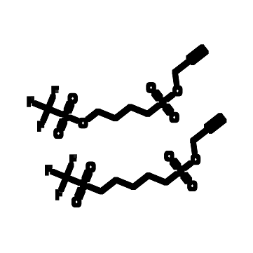 C#CCOS(=O)(=O)CCCCCS(=O)(=O)C(F)(F)F.C#CCOS(=O)(=O)CCCCOS(=O)(=O)C(F)(F)F